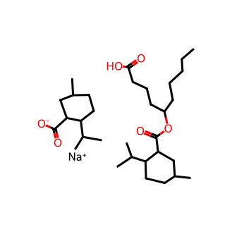 CC1CCC(C(C)C)C(C(=O)[O-])C1.CCCCCC(CCCC(=O)O)OC(=O)C1CC(C)CCC1C(C)C.[Na+]